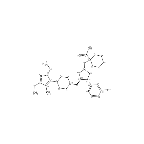 CCc1nn(CC)c(C2CCN(C[C@H]3CN(CC4(C(=O)O)CCCCC4)C[C@@H]3c3cccc(F)c3)CC2)c1C